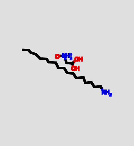 CCCCCCCCCCCCCCCCCCN.[O-][NH2+]CC(O)O